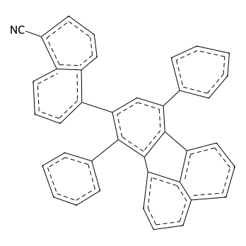 N#Cc1cccc2c(-c3cc(-c4ccccc4)c4c(c3-c3ccccc3)-c3cccc5cccc-4c35)cccc12